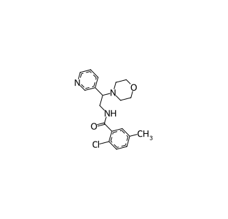 Cc1ccc(Cl)c(C(=O)NCC(c2cccnc2)N2CCOCC2)c1